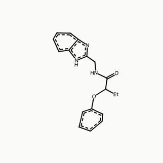 CCC(Oc1ccccc1)C(=O)NCc1nc2ccccc2[nH]1